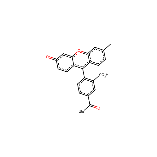 Cc1ccc2c(-c3ccc(C(=O)C(C)(C)C)cc3C(=O)O)c3ccc(=O)cc-3oc2c1